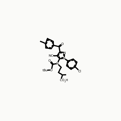 Cc1ccc(C(=O)c2nn(-c3ccc(Cl)cc3)c(N(CCC(C)C(=O)O)C(=O)OC(C)(C)C)c2C#N)cc1